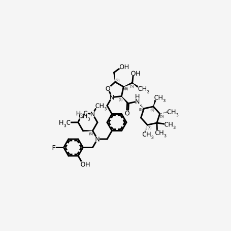 CC(C)C[C@@H](CN(C)C)N(Cc1cccc(CN2O[C@@H](CO)[C@@H]([C@H](C)O)[C@H]2C(=O)N[C@H]2C[C@@H](C)C(C)(C)[C@@H](C)[C@@H]2C)c1)Cc1ccc(F)cc1O